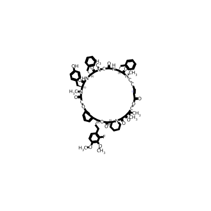 COc1ccc(CC[C@H]2OC(=O)[C@@H]3CCCCN3C(=O)C(=O)C(C)(C)COC(=O)/C=C/CCN(C)C(=O)[C@@H](Cc3ccccc3)NC(=O)CN(C)C(=O)[C@@H](Cc3ccccc3)NC(=O)[C@H](Cc3ccc(O)cc3)N(C)C(=O)COc3cccc2c3)c(F)c1OC